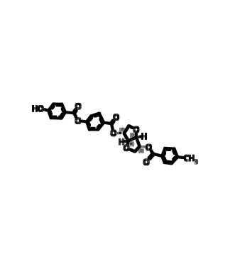 Cc1ccc(C(=O)O[C@@H]2CO[C@H]3[C@@H]2OC[C@H]3OC(=O)c2ccc(OC(=O)c3ccc(O)cc3)cc2)cc1